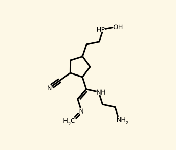 C=N/C=C(\NCCN)C1CC(CCPO)CC1C#N